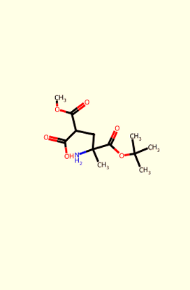 COC(=O)C(CC(C)(N)C(=O)OC(C)(C)C)C(=O)O